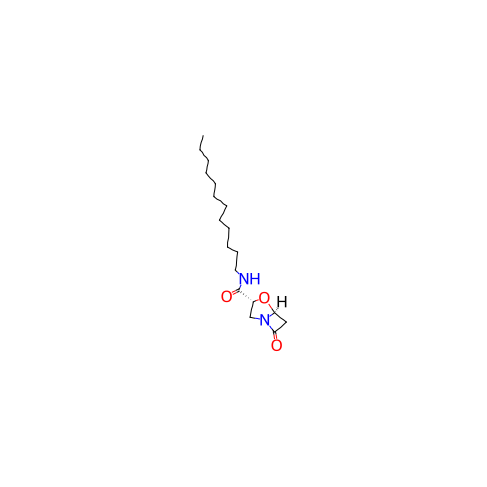 CCCCCCCCCCCCNC(=O)[C@H]1CN2C(=O)C[C@@H]2O1